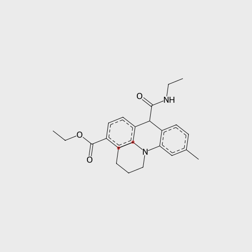 CCNC(=O)C(c1ccc(C(=O)OCC)cc1)c1ccc(C)cc1N1CCCCC1